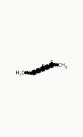 CCCCCCCC1CCC(C2CCC(c3ccc(C4=CCC(c5ccc(CCCCC)c(F)c5)CC4)c(F)c3)CC2)CC1